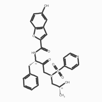 C[C@@H](O)CN(CC(=O)[C@H](Cc1ccccc1)NC(=O)c1cc2cc(O)ccc2o1)S(=O)(=O)c1ccncc1